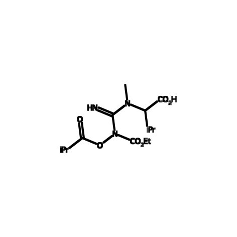 CCOC(=O)N(OC(=O)C(C)C)C(=N)N(C)C(C(=O)O)C(C)C